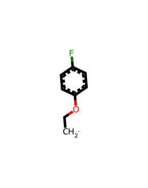 [CH2]COc1ccc(F)cc1